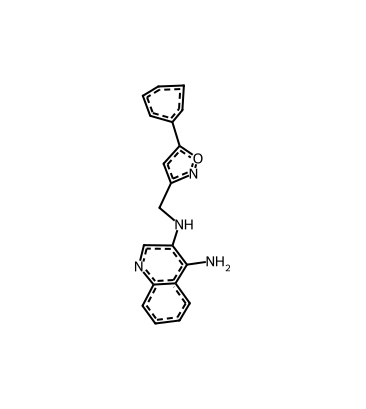 Nc1c(NCc2cc(-c3ccccc3)on2)cnc2ccccc12